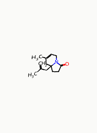 C=C(C)CC12CCC(=O)N1CC=C(C)C2